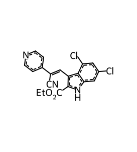 CCOC(=O)c1[nH]c2cc(Cl)cc(Cl)c2c1C=C(C#N)c1ccncc1